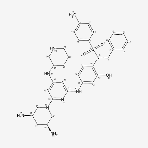 Cc1ccc(S(=O)(=O)N(Cc2ccccc2)c2ccc(Nc3nc(NC4CCCNC4)nc(N4C[C@H](N)C[C@H](N)C4)n3)cc2O)cc1